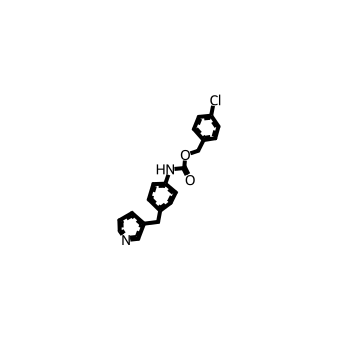 O=C(Nc1ccc(Cc2cccnc2)cc1)OCc1ccc(Cl)cc1